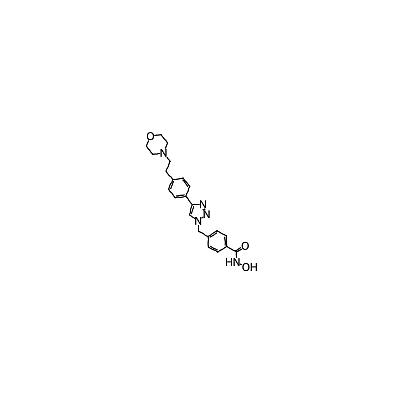 O=C(NO)c1ccc(Cn2cc(-c3ccc(CCN4CCOCC4)cc3)nn2)cc1